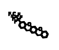 FC(F)(F)C(F)(F)C(F)(F)c1ccc2c(c1)Oc1cc3c(cc1C2)Cc1ccccc1O3